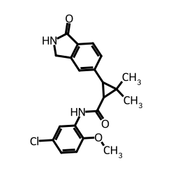 COc1ccc(Cl)cc1NC(=O)C1C(c2ccc3c(c2)CNC3=O)C1(C)C